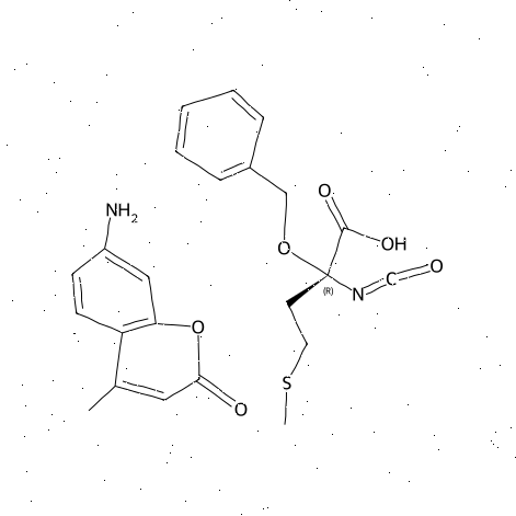 CSCC[C@@](N=C=O)(OCc1ccccc1)C(=O)O.Cc1cc(=O)oc2cc(N)ccc12